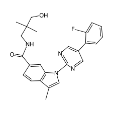 Cc1cn(-c2ncc(-c3ccccc3F)cn2)c2cc(C(=O)NCC(C)(C)CO)ccc12